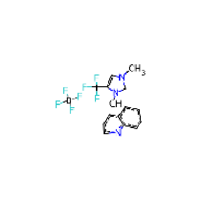 CN1C=C(C(F)(F)F)N(C)C1.F[B-](F)(F)F.c1ccc2ncccc2c1